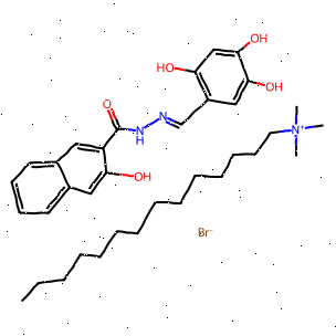 CCCCCCCCCCCCCC[N+](C)(C)C.O=C(NN=Cc1cc(O)c(O)cc1O)c1cc2ccccc2cc1O.[Br-]